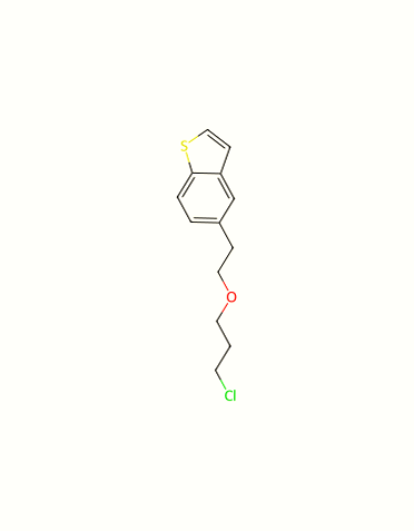 ClCCCOCCc1ccc2sccc2c1